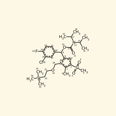 Cc1c(S(C)(=O)=O)nc(C(OC(=O)N(C(C)C)C(C)C)c2ccc(F)c(Cl)c2)n1COCC[Si](C)(C)C